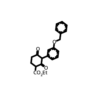 CCOC(=O)C1CCC(=O)C(c2cccc(OCc3ccccc3)c2)C1=O